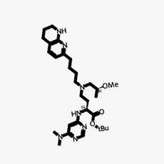 CO[C@H](C)CN(CCCCc1ccc2c(n1)NCCC2)CC[C@H](Nc1cc(N(C)C)ncn1)C(=O)OC(C)(C)C